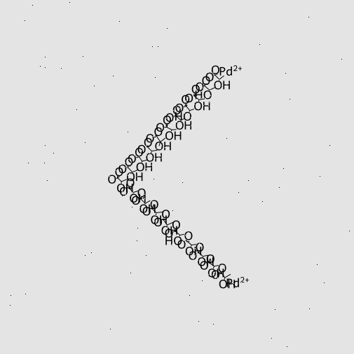 CC(O)C(=O)[O-].CC(O)C(=O)[O-].CC(O)C(=O)[O-].CC(O)C(=O)[O-].CC(O)C(=O)[O-].CC(O)C(=O)[O-].CC(O)C(=O)[O-].CC(O)C(=O)[O-].CC(O)C(=O)[O-].CC(O)C(=O)[O-].CC(O)C(=O)[O-].CC(O)C(=O)[O-].CC(O)C(=O)[O-].CC(O)C(=O)[O-].CC(O)C(=O)[O-].CC(O)C(=O)[O-].CC(O)C(=O)[O-].CC(O)C(=O)[O-].CC(O)C(=O)[O-].CC(O)C(=O)[O-].[Pd+2].[Pd+2]